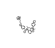 CC(=O)N(c1ccc(Cl)cc1)C1CC(C)N(C(=O)c2ccc(OCCCn3cccn3)cc2)c2ccccc21